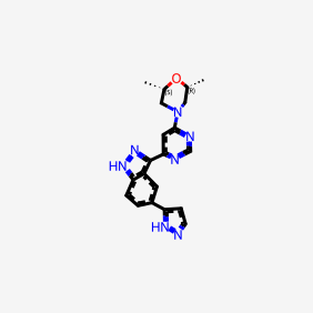 C[C@@H]1CN(c2cc(-c3n[nH]c4ccc(-c5ccn[nH]5)cc34)ncn2)C[C@H](C)O1